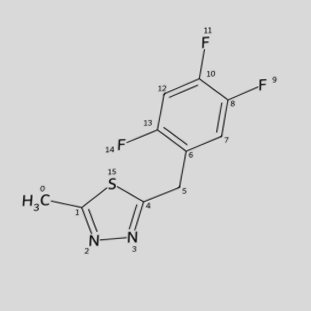 Cc1nnc(Cc2cc(F)c(F)cc2F)s1